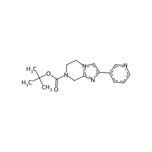 CC(C)(C)OC(=O)N1CCn2cc(-c3cccnc3)nc2C1